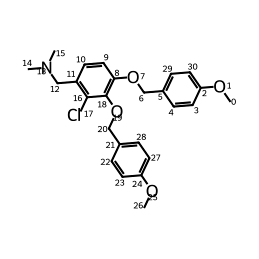 COc1ccc(COc2ccc(CN(C)C)c(Cl)c2OCc2ccc(OC)cc2)cc1